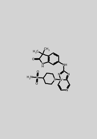 CC1(C)C(=O)Nc2cc(NC3=N[N+]4(N5CCC(S(N)(=O)=O)CC5)C=CN=CC4=N3)ccc21